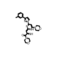 Cc1cccc(-c2ccn(C3=N/C(=C/C(=N)C(=O)N4CCOCC4)NC(N4CCOCC4)=C3)n2)c1